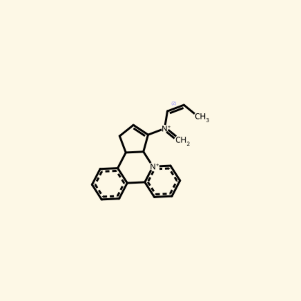 C=[N+](/C=C\C)C1=CCC2c3ccccc3-c3cccc[n+]3C12